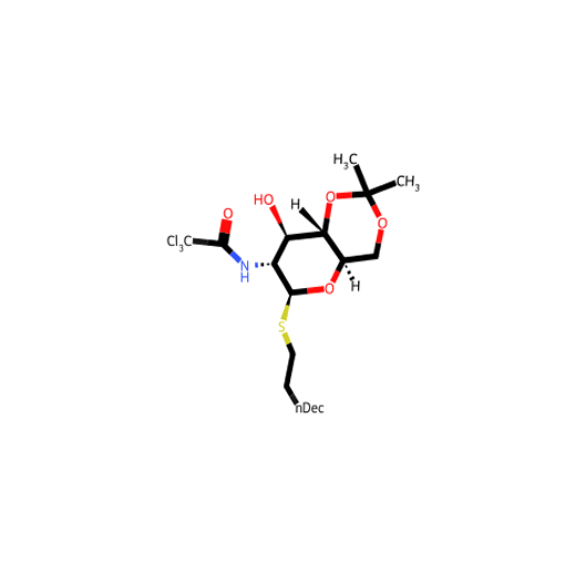 CCCCCCCCCCCCS[C@@H]1O[C@@H]2COC(C)(C)O[C@H]2[C@H](O)[C@H]1NC(=O)C(Cl)(Cl)Cl